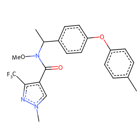 CON(C(=O)c1cn(C)nc1C(F)(F)F)C(C)c1ccc(Oc2ccc(C)cc2)cc1